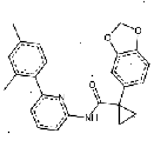 Cc1ccc(-c2cccc(NC(=O)C3(c4ccc5c(c4)OCO5)CC3)n2)c(C)c1